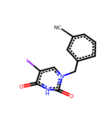 N#Cc1cccc(Cn2cc(I)c(=O)[nH]c2=O)c1